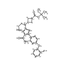 CC(C)(C)OC(=O)N1CC(N2CCNc3c2nn(-c2ccc(Oc4ccccc4F)cc2)c3C(N)=O)C1